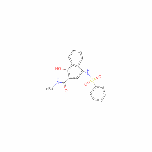 CCCCNC(=O)c1cc(NS(=O)(=O)c2ccccc2)c2ccccc2c1O